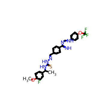 COc1ccc(C(C)NC(=S)N/N=C/c2ccc(C(=N)/N=C\Nc3ccc(OC(F)(F)F)cc3)cc2)cc1F